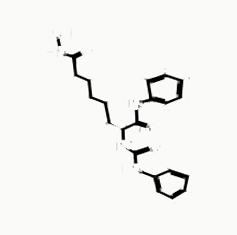 O=C(CCCCC[C@H](NC(=O)Nc1ccccc1)C(=O)Nc1ccccc1)NO